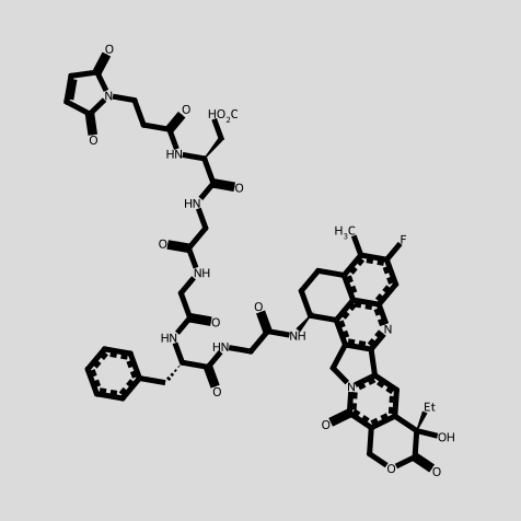 CC[C@@]1(O)C(=O)OCc2c1cc1n(c2=O)Cc2c-1nc1cc(F)c(C)c3c1c2[C@@H](NC(=O)CNC(=O)[C@H](Cc1ccccc1)NC(=O)CNC(=O)CNC(=O)[C@H](CC(=O)O)NC(=O)CCN1C(=O)C=CC1=O)CC3